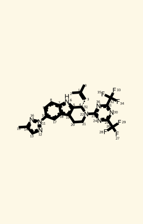 CC(C)=C[C@H]1c2[nH]c3ccc(-n4ncc(C)n4)cc3c2CCN1c1nc(C(F)(F)F)nc(C(F)(F)F)n1